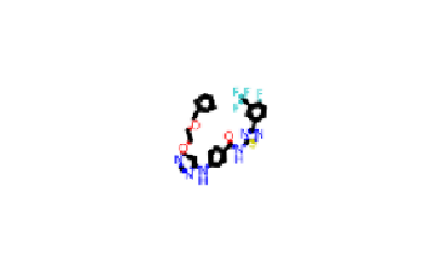 O=C(Nc1nc(-c2ccc(F)c(C(F)(F)F)c2)ns1)c1ccc(Nc2cc(OCCOCc3ccccc3)ncn2)cc1